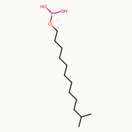 CC(C)CCCCCCCCCCOP(O)O